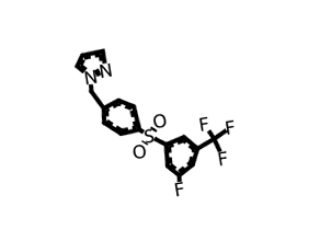 O=S(=O)(c1ccc(Cn2cccn2)cc1)c1cc(F)cc(C(F)(F)F)c1